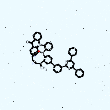 C=C1/C=C\C=C/CN(c2ccccc2-n2c3ccccc3c(=O)c3ccccc32)c2ccc(-c3cccc(-c4nc(-c5ccccc5)cc(-c5ccccc5)n4)c3)cc21